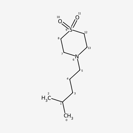 CC(C)CCCN1CCS(=O)(=O)CC1